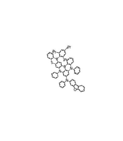 CC(C)c1cc(C(C)C)c(B2c3ccccc3Sc3cc4c(cc32)B2c3ccccc3N(c3ccccc3)c3cc(N(c5ccccc5)c5ccc6c(c5)oc5ccccc56)cc(c32)N4c2ccccc2)c(C(C)C)c1